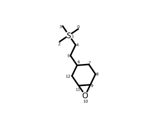 CS(C)(C)CCC1CCC2OC2C1